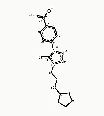 O=c1n(CCOC2CCCC2)nnn1-c1ccc([N+](=O)[O-])cc1